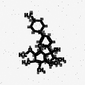 COc1c(C)c(C)c(OC)c(C(O)(c2ccc(N3CCN(C)CC3)cc2)C(C)C)c1C